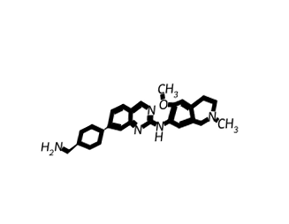 COc1cc2c(cc1Nc1ncc3ccc([C@H]4CC[C@H](CN)CC4)cc3n1)CN(C)CC2